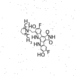 C[C@@H]1CCC[C@H](C)N1CCc1c(O)c(F)cc2c1[nH]c1c3[nH]c4cc(O)c(F)cc4c3c3c(c21)C(=O)NC3=O